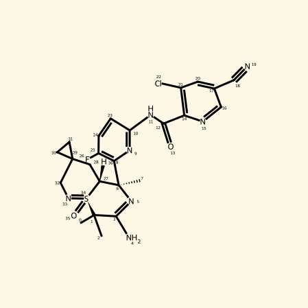 CC1(C)C(N)=N[C@](C)(c2nc(NC(=O)c3ncc(C#N)cc3Cl)ccc2F)[C@H]2CC3(CC3)CN=[S@@]21=O